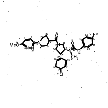 COc1ccc(N2CCC(C(=O)N3C[C@@H](N(C)C(=O)Oc4ccc(F)cc4)[C@H](C4=CCC(Cl)C=C4)C3)CC2)nn1